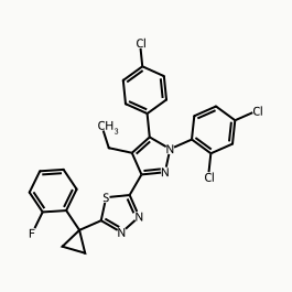 CCc1c(-c2nnc(C3(c4ccccc4F)CC3)s2)nn(-c2ccc(Cl)cc2Cl)c1-c1ccc(Cl)cc1